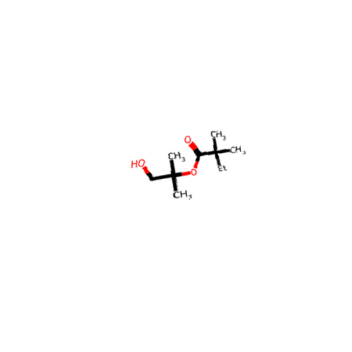 CCC(C)(C)C(=O)OC(C)(C)CO